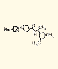 C=C1CC(C)CC(C(C)NC(=O)N2CCN(c3ccc(C#N)cn3)CC2)C1